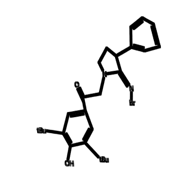 CC(C)(C)c1cc(C(=O)CN2CCC(c3ccccc3)/C2=N/Br)cc(C(C)(C)C)c1O